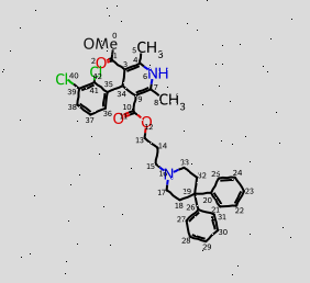 COC(=O)C1=C(C)NC(C)=C(C(=O)OCCCN2CCC(c3ccccc3)(c3ccccc3)CC2)C1c1cccc(Cl)c1Cl